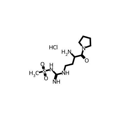 CS(=O)(=O)NC(=N)NCCC(N)C(=O)N1CCCC1.Cl